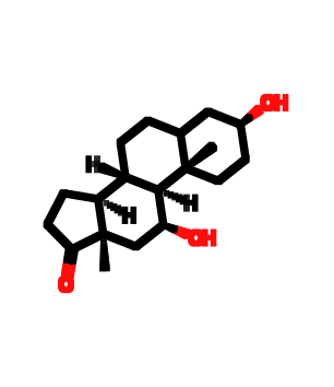 C[C@]12CC[C@H](O)CC1CC[C@@H]1[C@@H]2[C@@H](O)C[C@]2(C)C(=O)CC[C@@H]12